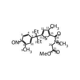 CCC(CC)(c1ccc(N=O)c(C)c1)c1cc(C)c(C(=O)N(C)CC(=O)OC)s1